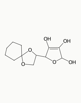 OC1=C(O)C(C2COC3(CCCCC3)O2)OC1O